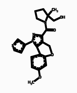 COc1ccc2c(c1)OCc1c(C(=O)N3CCCC3(C)CO)nn(-c3ccsc3)c1-2